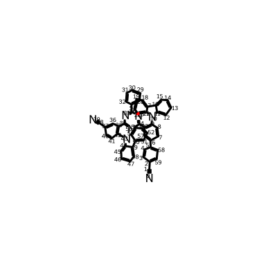 N#Cc1ccc(-c2ccc(-n3c4ccccc4c4ccccc43)c(-c3nc(-c4ccccc4)nc(-c4cc(C#N)ccc4-n4c5ccccc5c5ccccc54)n3)c2)cc1